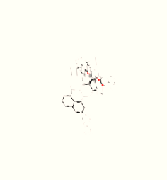 COCOc1cc(C2CCc3c(nc([S+](C)[O-])nc3N3C[C@H]4CC[C@@H](C3)N4C(=O)OC(C)(C)C)C2)c2c(F)cccc2c1